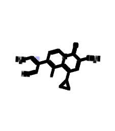 Cc1c(/C(C=N)=C/N)ccn2c(=O)c(C(=O)O)cc(C3CC3)c12